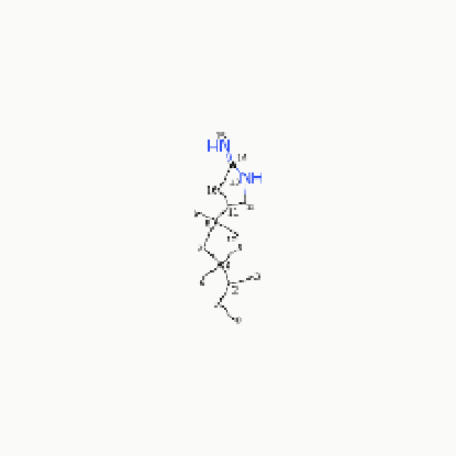 CCC(C)C(C)(C)CC(C)(C)C1CNC(=N)C1